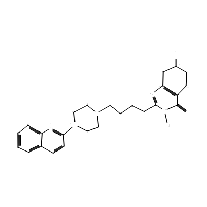 Nn1c(CCCCN2CCN(c3ccc4ccccc4n3)CC2)nc2c(c1=O)CCC(F)C2